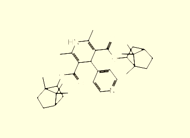 CC1=C(C(=O)OC2CC3CCC2(C)C3(C)C)C(c2ccncc2)C(C(=O)OC2CC3CCC2(C)C3(C)C)=C(C)N1